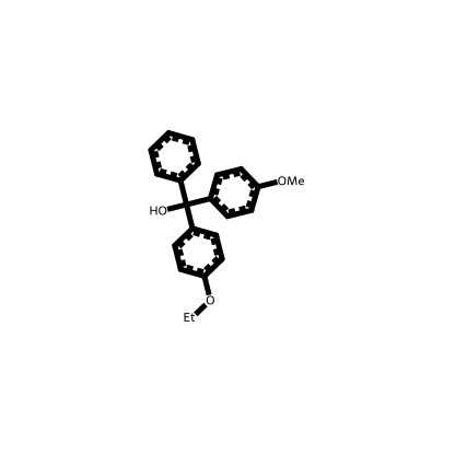 CCOc1ccc(C(O)(c2ccccc2)c2ccc(OC)cc2)cc1